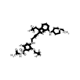 CCN1CCC(Nc2cccc3c(CC(F)(F)F)c(C#CCNc4cc(F)c(S(=O)(=O)NC(C)=O)cc4OCC(F)(F)F)sc23)CC1